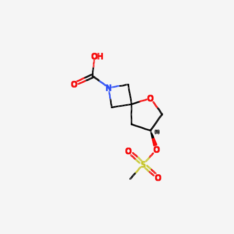 CS(=O)(=O)O[C@@H]1COC2(C1)CN(C(=O)O)C2